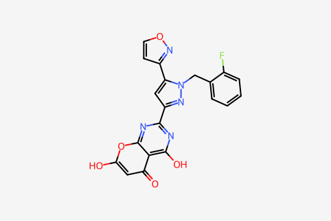 O=c1cc(O)oc2nc(-c3cc(-c4ccon4)n(Cc4ccccc4F)n3)nc(O)c12